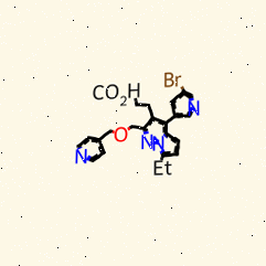 CCc1ccc2c(-c3cncc(Br)c3)c(CCC(=O)O)c(COCc3ccncc3)nn12